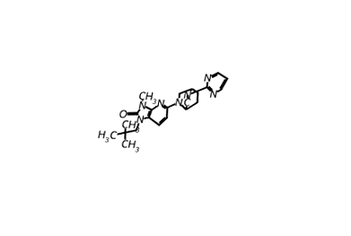 Cn1c(=O)n(CC(C)(C)C)c2ccc(N3CC4CCC3CN4c3ncccn3)nc21